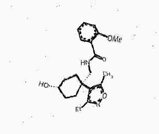 CCc1noc(C)c1[C@]1(CNC(=O)c2ccccc2OC)CC[C@@H](O)CC1